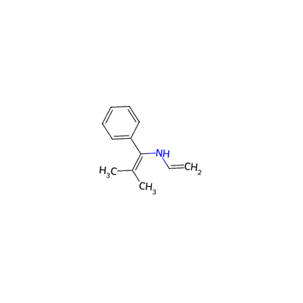 C=CNC(=C(C)C)c1ccccc1